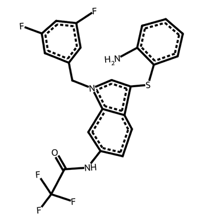 Nc1ccccc1Sc1cn(Cc2cc(F)cc(F)c2)c2cc(NC(=O)C(F)(F)F)ccc12